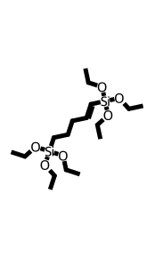 CCO[Si](C=CCCC[Si](OCC)(OCC)OCC)(OCC)OCC